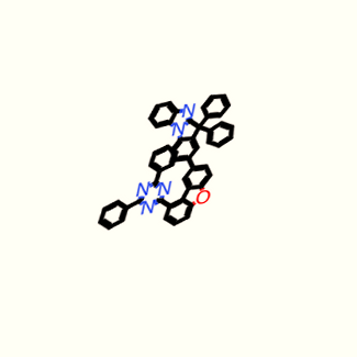 c1ccc(-c2nc(-c3ccccc3)nc(-c3cccc4oc5ccc(-c6ccc7c(c6)C(c6ccccc6)(c6ccccc6)c6nc8ccccc8n6-7)cc5c34)n2)cc1